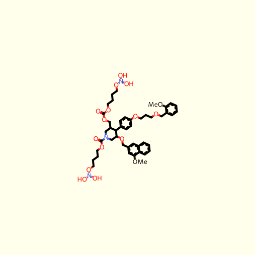 COc1ccccc1COCCCOc1ccc(C2C(COC(=O)OCCCCON(O)O)CN(C(=O)OCCCCON(O)O)CC2OCc2cc(OC)c3ccccc3c2)cc1